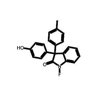 Cc1ccc(C2(c3ccc(O)cc3)C(=O)N(F)c3ccccc32)cc1